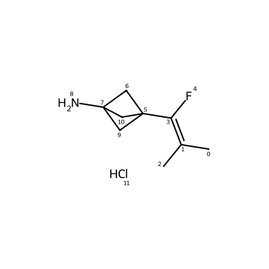 CC(C)=C(F)C12CC(N)(C1)C2.Cl